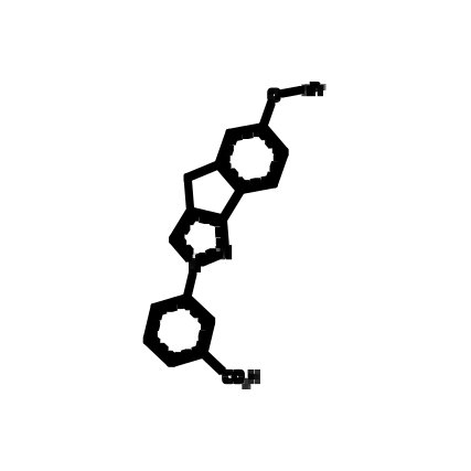 CCCOc1ccc2c(c1)Cc1cn(-c3cccc(C(=O)O)c3)nc1-2